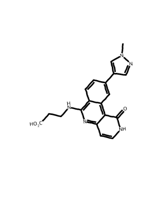 Cn1cc(-c2ccc3c(NCCC(=O)O)nc4cc[nH]c(=O)c4c3c2)cn1